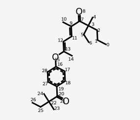 CCCC(C)(CC)C(=O)/C(C)=C/C=C(\C)Oc1ccc(C(=O)C(C)(C)CC)cc1